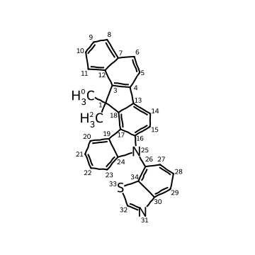 CC1(C)c2c(ccc3ccccc23)-c2ccc3c(c21)c1ccccc1n3-c1cccc2ncsc12